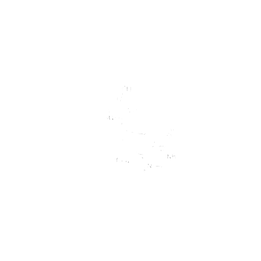 Cc1cnc(-c2cc(O)c3nc[nH]c(=O)c3c2)s1